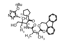 CCCCOc1nnnn1C[C@@H]1CCCN1C(=O)[C@@H](NC(=O)[C@H](C)N(C)C(=O)OCC1c2ccccc2-c2ccccc21)C(C)(C)CO